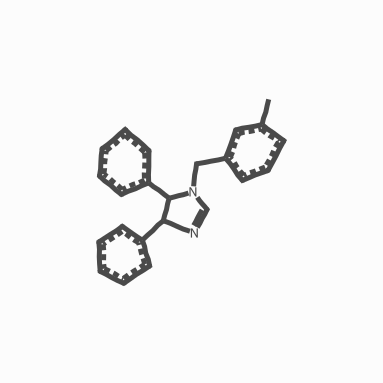 Cc1cccc(CN2C=NC(c3ccccc3)C2c2ccccc2)c1